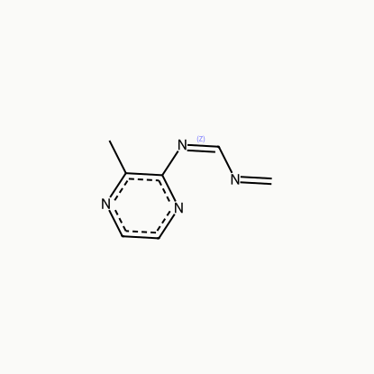 C=N/C=N\c1nccnc1C